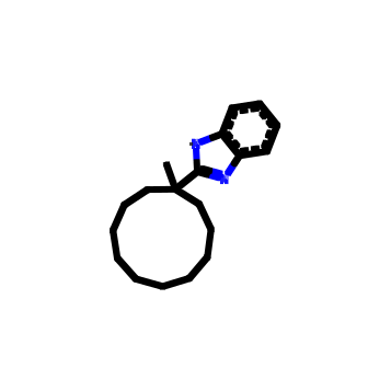 CC1(C2=Nc3ccccc3[N]2)CCCCCCCCCC1